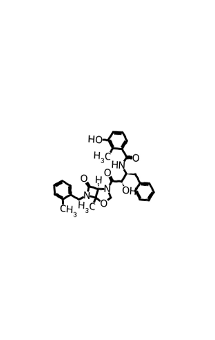 Cc1ccccc1CN1C(=O)[C@H]2N(C(=O)[C@@H](O)[C@H](Cc3ccccc3)NC(=O)c3cccc(O)c3C)COC21C